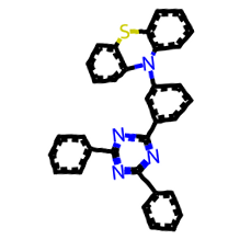 c1ccc(-c2nc(-c3ccccc3)nc(-c3cccc(N4c5ccccc5Sc5ccccc54)c3)n2)cc1